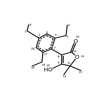 CCc1cc(CC)c(C2=C(O)C(C)(C)OC2=O)c(CC)c1